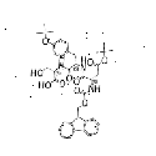 CC(C)(C)OC(=O)C[C@H](NC(=O)OCC1c2ccccc2-c2ccccc21)C(=O)N[C@@H](Cc1ccc(OC(C)(C)C)cc1)C(=O)N[C@@H](CO)C(=O)O